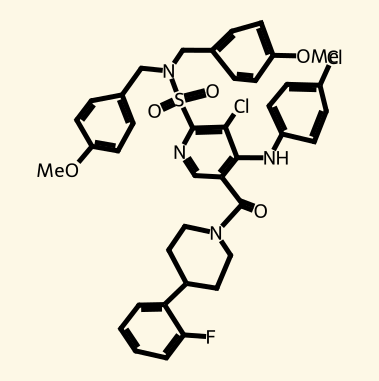 COc1ccc(CN(Cc2ccc(OC)cc2)S(=O)(=O)c2ncc(C(=O)N3CCC(c4ccccc4F)CC3)c(Nc3ccc(Cl)cc3)c2Cl)cc1